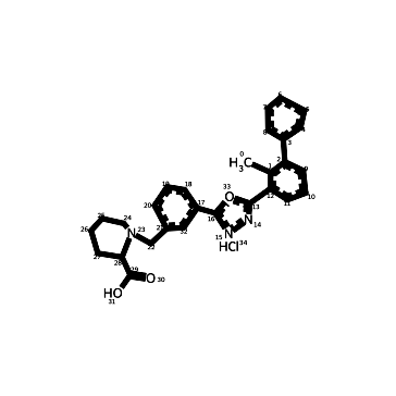 Cc1c(-c2ccccc2)cccc1-c1nnc(-c2cccc(CN3CCCCC3C(=O)O)c2)o1.Cl